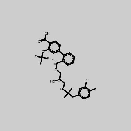 Cc1ccc(CC(C)(C)NC[C@@H](O)CO[C@H](C)c2ccccc2-c2ccc(C(=O)O)c(OC(F)(F)F)c2)cc1F